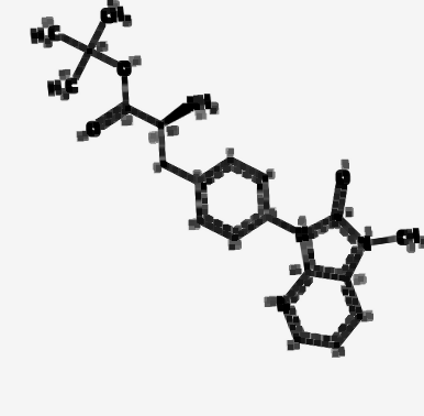 Cn1c(=O)n(-c2ccc(C[C@H](N)C(=O)OC(C)(C)C)cc2)c2ncccc21